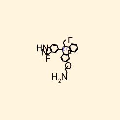 CC/C(=C(/c1ccc(OCCN)cc1)c1ccc2[nH]nc(F)c2c1)c1c(F)cccc1F